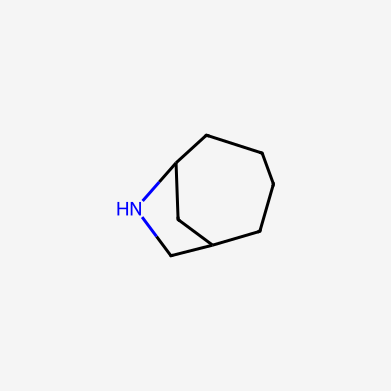 C1CCC2CC(C1)CN2